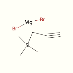 C#CC[Si](C)(C)C.[Br][Mg][Br]